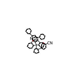 N#Cc1ccc(-c2ccccc2C2(c3ccccc3-c3nc(-c4ccccc4)cc(-c4ccccc4)n3)c3ccccc3-c3ccccc32)cc1